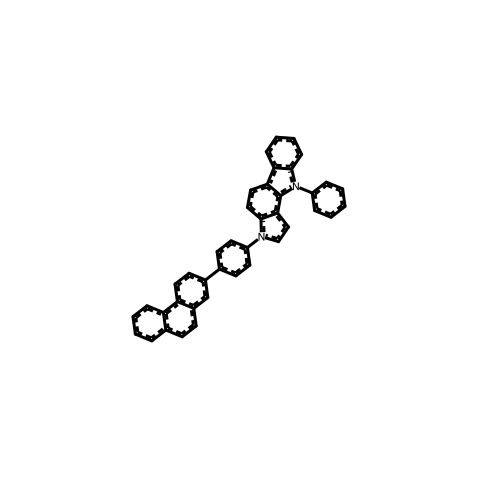 c1ccc(-n2c3ccccc3c3ccc4c(ccn4-c4ccc(-c5ccc6c(ccc7ccccc76)c5)cc4)c32)cc1